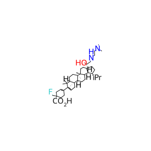 CC(C)[C@@H]1CC[C@]2(C(O)CNCCN(C)C)CC[C@]3(C)[C@H](CC[C@@H]4[C@@]5(C)CC=C(C6=CCC(CF)(C(=O)O)CC6)C(C)(C)[C@@H]5CC[C@]43C)[C@@H]12